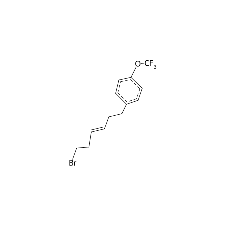 FC(F)(F)Oc1ccc(CCC=CCCBr)cc1